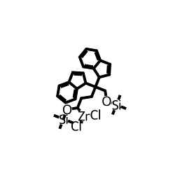 C[Si](C)(C)OCC(CC[CH](O[Si](C)(C)C)[Zr]([Cl])[Cl])(C1C=Cc2ccccc21)C1C=Cc2ccccc21